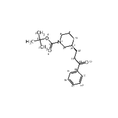 CC(C)(C)OC(=O)N1CCC[C@@H](CCC(=O)c2ccccc2)C1